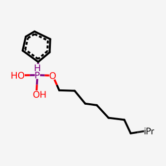 CC(C)CCCCCCCO[PH](O)(O)c1ccccc1